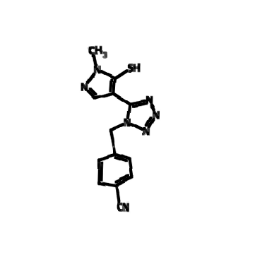 Cn1ncc(-c2nnnn2Cc2ccc(C#N)cc2)c1S